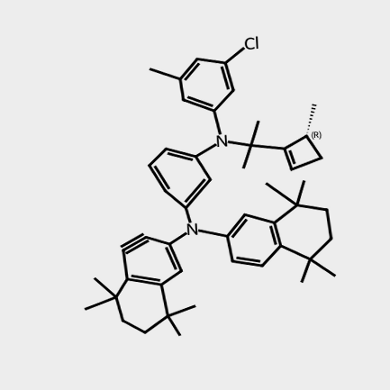 Cc1cc(Cl)cc(N(c2cccc(N(c3c#cc4c(c3)C(C)(C)CCC4(C)C)c3ccc4c(c3)C(C)(C)CCC4(C)C)c2)C(C)(C)C2=CC[C@H]2C)c1